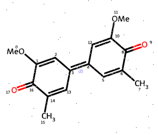 COC1=C/C(=C2/C=C(C)C(=O)C(OC)=C2)C=C(C)C1=O